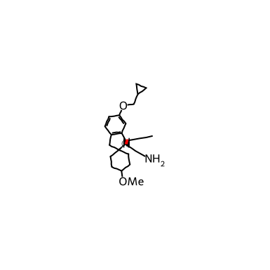 COC1CCC2(CC1)Cc1ccc(OCC3CC3)cc1[C@]21N=C(C)C(N)=N1